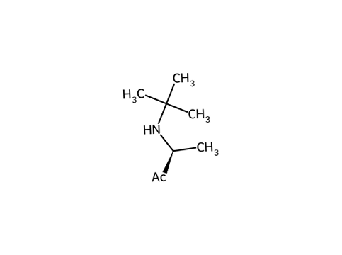 CC(=O)[C@H](C)NC(C)(C)C